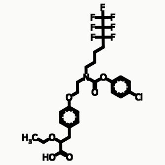 CCOC(Cc1ccc(OCCN(CCCCC(F)(F)C(F)(F)C(F)(F)F)C(=O)Oc2ccc(Cl)cc2)cc1)C(=O)O